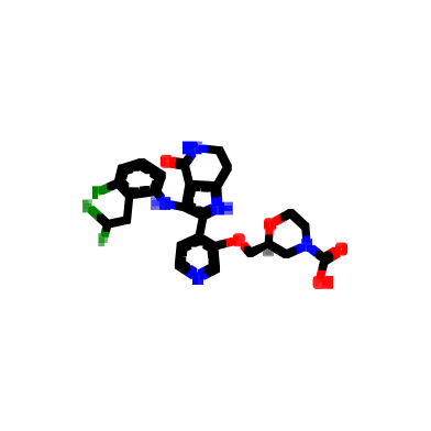 O=C1NCCc2[nH]c(-c3ccncc3OC[C@@H]3CN(C(=O)O)CCO3)c(Nc3cccc(F)c3CC(F)F)c21